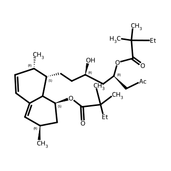 CCC(C)(C)C(=O)O[C@@H](CC(C)=O)C[C@H](O)CC[C@@H]1C2C(=C[C@H](C)C[C@@H]2OC(=O)C(C)(C)CC)C=C[C@@H]1C